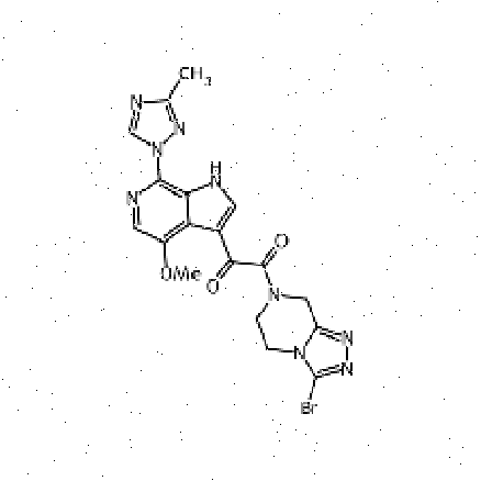 COc1cnc(-n2cnc(C)n2)c2[nH]cc(C(=O)C(=O)N3CCn4c(Br)nnc4C3)c12